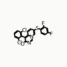 O=c1ncn2cc(Sc3ccc(F)cc3F)ccc2c1-c1c(Cl)cccc1Cl